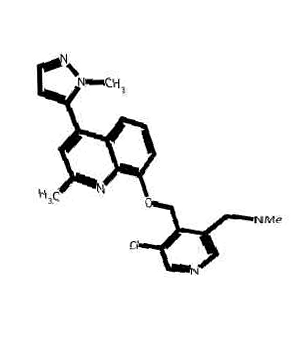 CNCc1cncc(Cl)c1COc1cccc2c(-c3ccnn3C)cc(C)nc12